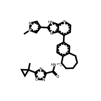 Cn1cc(-c2nc3c(-c4ccc5c(c4)CCCC[C@@H]5NC(=O)c4noc(C5(C)CC5)n4)ccnc3[nH]2)cn1